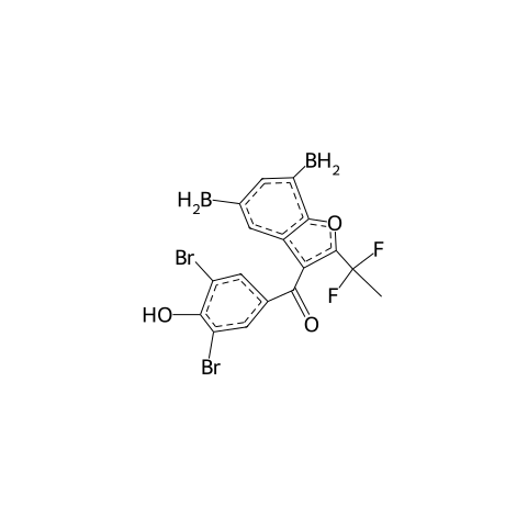 Bc1cc(B)c2oc(C(C)(F)F)c(C(=O)c3cc(Br)c(O)c(Br)c3)c2c1